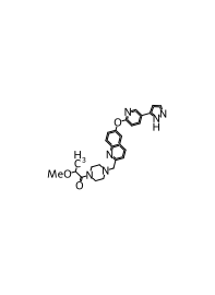 COC(C)C(=O)N1CCN(Cc2ccc3cc(Oc4ccc(-c5ccn[nH]5)cn4)ccc3n2)CC1